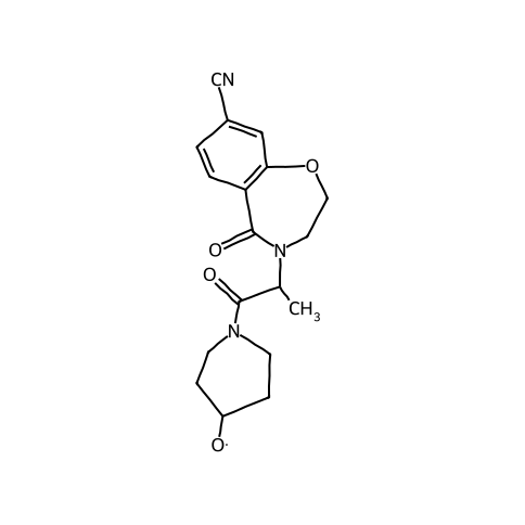 CC(C(=O)N1CCC([O])CC1)N1CCOc2cc(C#N)ccc2C1=O